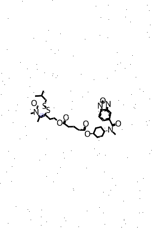 C/C(=C(\CCOC(=O)CCCC(=O)O[C@H]1CC[C@H](N(C)C(=O)c2ccc3nonc3c2)CC1)SSCC(C)C)N(C)C=O